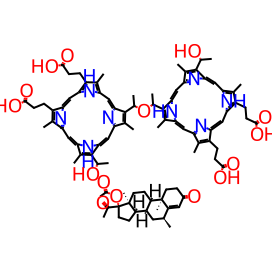 CC(=O)O[C@]1(C(C)=O)CC[C@H]2[C@@H]3C[C@H](C)C4=CC(=O)CC[C@]4(C)[C@H]3CC[C@@]21C.CC1=C(CCC(=O)O)c2cc3[nH]c(cc4nc(cc5[nH]c(cc1n2)c(C)c5C(C)OC(C)C1=C(C)c2cc5[nH]c(cc6nc(cc7[nH]c(cc1n2)c(C)c7CCC(=O)O)C(CCC(=O)O)=C6C)c(C)c5C(C)O)C(C)=C4C(C)O)c(C)c3CCC(=O)O